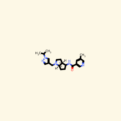 Cc1cncc(C(=O)NC2CC[C@@H]3[C@H]2CCN3Cc2cnn(C(C)C)c2)c1